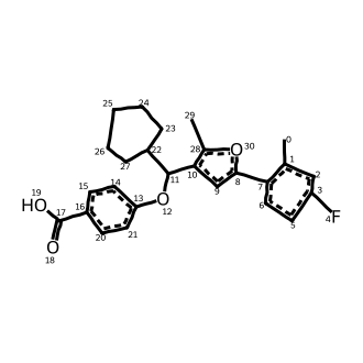 Cc1cc(F)ccc1-c1cc(C(Oc2ccc(C(=O)O)cc2)C2CCCCC2)c(C)o1